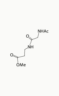 COC(=O)CCNC(=O)CNC(C)=O